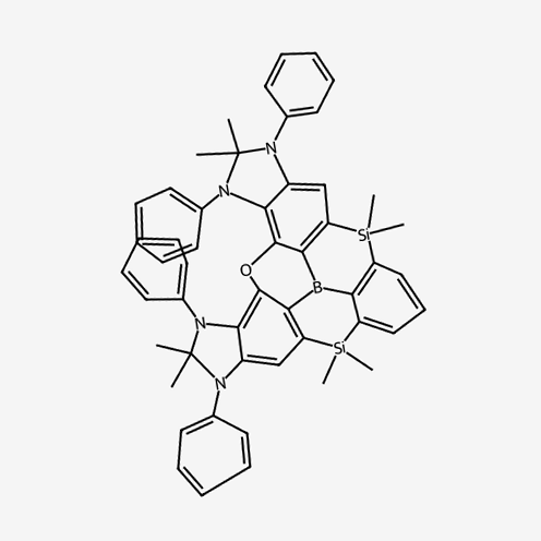 CC1(C)N(c2ccccc2)c2cc3c4c(c2N1c1ccccc1)Oc1c2c(cc5c1N(c1ccccc1)C(C)(C)N5c1ccccc1)[Si](C)(C)c1cccc(c1B42)[Si]3(C)C